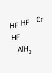 F.F.F.[AlH3].[Cr]